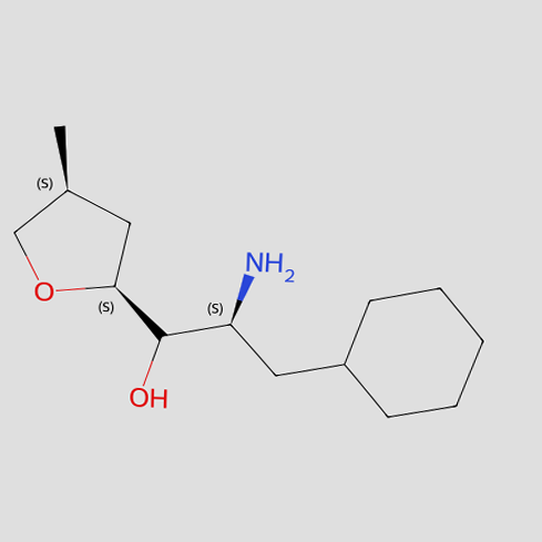 C[C@@H]1CO[C@H](C(O)[C@@H](N)CC2CCCCC2)C1